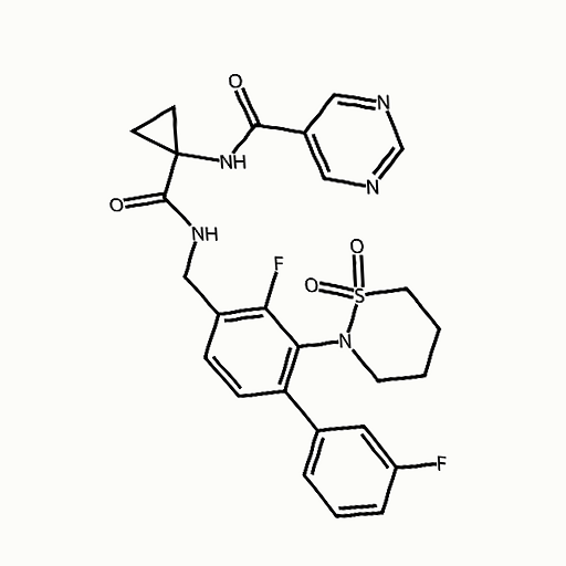 O=C(NC1(C(=O)NCc2ccc(-c3cccc(F)c3)c(N3CCCCS3(=O)=O)c2F)CC1)c1cncnc1